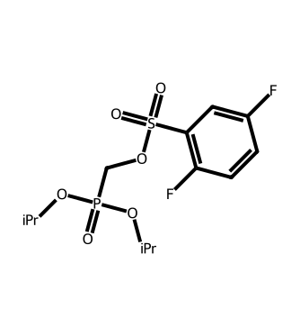 CC(C)OP(=O)(COS(=O)(=O)c1cc(F)ccc1F)OC(C)C